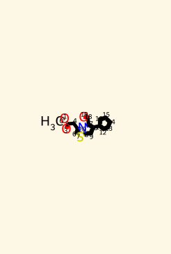 COC(=O)Cc1csc2cc(-c3ccccc3)c(C=O)n12